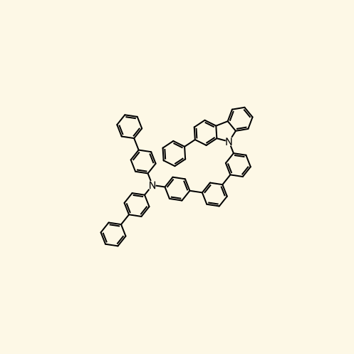 c1ccc(-c2ccc(N(c3ccc(-c4ccccc4)cc3)c3ccc(-c4cccc(-c5cccc(-n6c7ccccc7c7ccc(-c8ccccc8)cc76)c5)c4)cc3)cc2)cc1